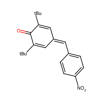 CC(C)(C)C1=CC(=Cc2ccc([N+](=O)[O-])cc2)C=C(C(C)(C)C)C1=O